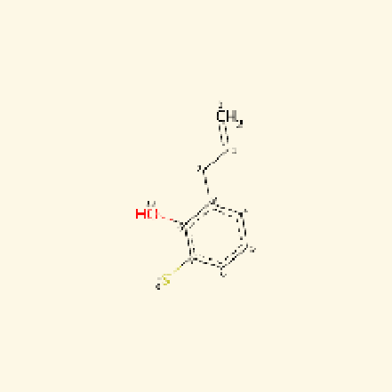 C=CCc1cccc([S])c1O